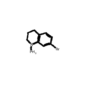 PN1CCCc2ccc(Br)cc21